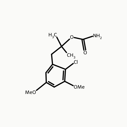 COc1cc(CC(C)(C)OC(N)=O)c(Cl)c(OC)c1